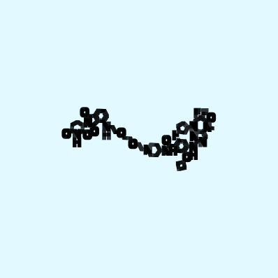 CN1C(=O)C(F)(F)CN(C2CCCC2)c2nc(Nc3cc(F)c(C(=O)NC4CCN(CCOCCOCCNc5cccc6c5C(=O)N(C5CCC(=O)NC5=O)C6=O)CC4)cc3OC3CCC3)ncc21